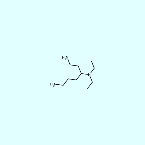 CCN(CC)C(CCN)CCCN